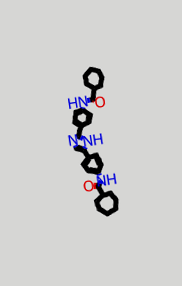 O=C(Nc1ccc(-c2cnc(-c3ccc(NC(=O)C4CCCCCC4)cc3)[nH]2)cc1)C1CCCCCC1